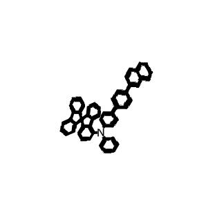 c1ccc(N(c2ccc(-c3ccc(-c4ccc5ccccc5c4)cc3)cc2)c2cccc3c2-c2ccccc2C32c3ccccc3-c3ccccc32)cc1